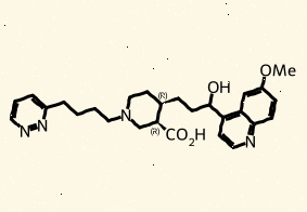 COc1ccc2nccc(C(O)CC[C@@H]3CCN(CCCCc4cccnn4)C[C@@H]3C(=O)O)c2c1